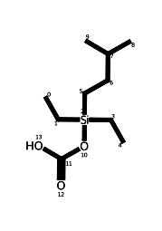 CC[Si](CC)(CCC(C)C)OC(=O)O